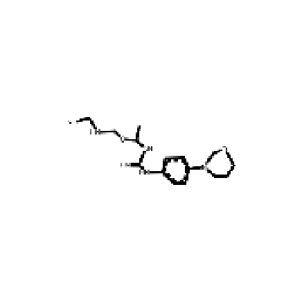 CC(NC(=N)Nc1ccc(N2CCCOC2)cc1)OCNCC#N